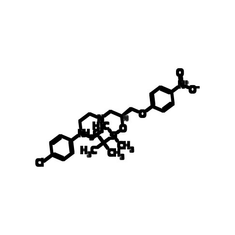 CC(C)(C)[Si](C)(C)O[C@H](COc1ccc([N+](=O)[O-])cc1)CN1CCN(c2ccc(Cl)cc2)CC1